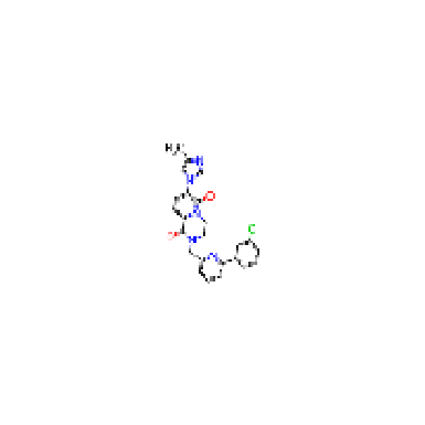 Cc1cn(-c2ccc3n(c2=O)CCN(Cc2cccc(-c4cccc(Cl)c4)n2)C3=O)cn1